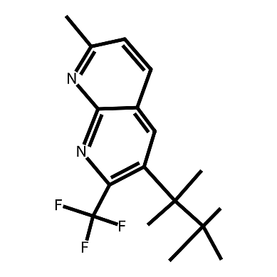 Cc1ccc2cc(C(C)(C)C(C)(C)C)c(C(F)(F)F)nc2n1